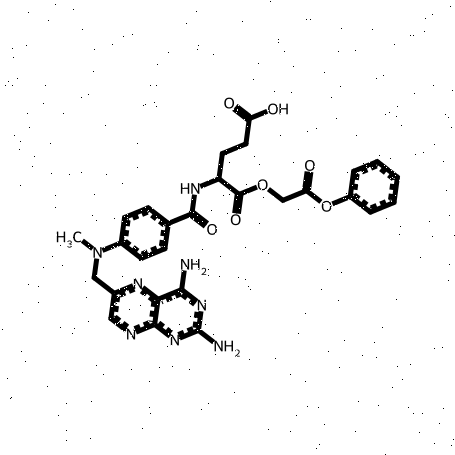 CN(Cc1cnc2nc(N)nc(N)c2n1)c1ccc(C(=O)NC(CCC(=O)O)C(=O)OCC(=O)Oc2ccccc2)cc1